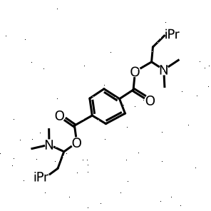 CC(C)CC(OC(=O)c1ccc(C(=O)OC(CC(C)C)N(C)C)cc1)N(C)C